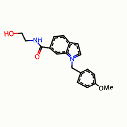 COc1ccc(Cn2ccc3ccc(C(=O)NCCO)cc32)cc1